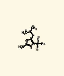 CC(C)Cc1sc(N)nc1C(F)(F)F